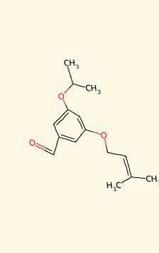 CC(C)=CCOc1cc(C=O)cc(OC(C)C)c1